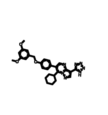 COc1cc(COc2ccc(-c3cnc4c(-c5nnn[nH]5)cnn4c3C3CCCCC3)cc2)cc(OC)c1